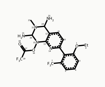 CCOc1cccc(C(F)(F)F)c1-c1ccc2c(n1)N(OC(=O)C(F)(F)F)C(N)N(C)C2N